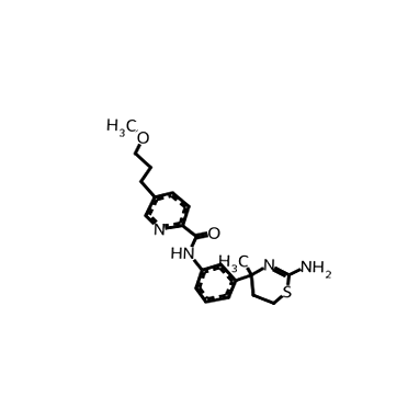 COCCCc1ccc(C(=O)Nc2cccc(C3(C)CCSC(N)=N3)c2)nc1